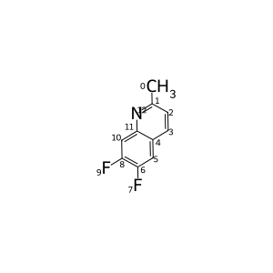 Cc1ccc2cc(F)c(F)cc2n1